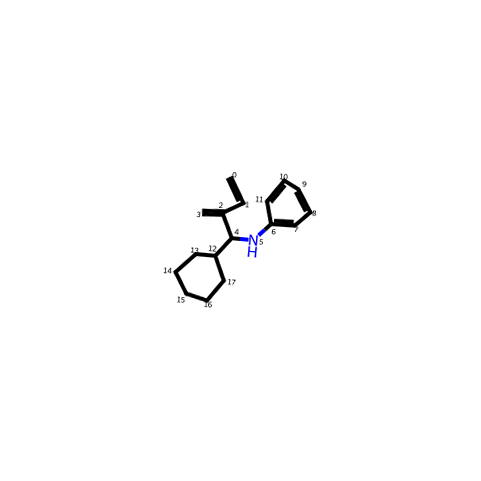 C=CC(=C)C(Nc1ccccc1)C1CCCCC1